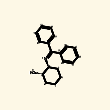 O[C@H]1CCCC[C@@H]1N=C(c1ccccc1)c1ccccc1